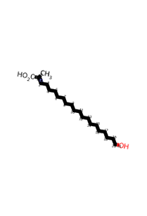 C/C(=C\CCCCCCCCCCCCCCCCCCO)C(=O)O